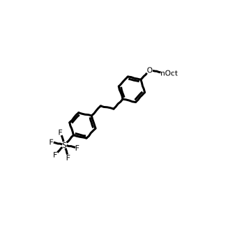 CCCCCCCCOc1ccc(CCc2ccc(S(F)(F)(F)(F)F)cc2)cc1